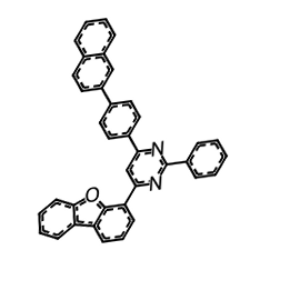 c1ccc(-c2nc(-c3ccc(-c4ccc5ccccc5c4)cc3)cc(-c3cccc4c3oc3ccccc34)n2)cc1